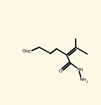 CC(C)=C(CCCC=O)C(=O)NN